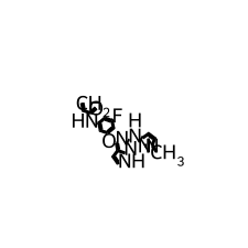 C=CC(=O)Nc1cc(F)cc(Oc2nc(Nc3ccn(C)n3)nc3[nH]ccc23)c1